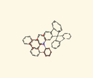 c1ccc(-c2ccccc2-c2c(-c3ccccc3)cccc2-c2ccccc2N(c2ccccc2)c2ccc3c(c2)C2(c4ccccc4-c4ccccc42)c2ccccc2-3)cc1